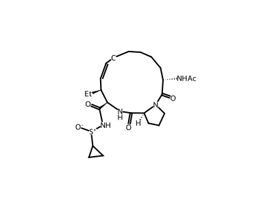 CC[C@H]1/C=C\CCCCC[C@H](NC(C)=O)C(=O)N2CCC[C@H]2C(=O)N[C@H]1C(=O)N[S+]([O-])C1CC1